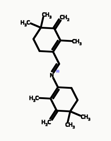 C=C1C(C)=C(/C=N/C2=C(C)C(=C)C(C)(C)CC2)CCC1(C)C